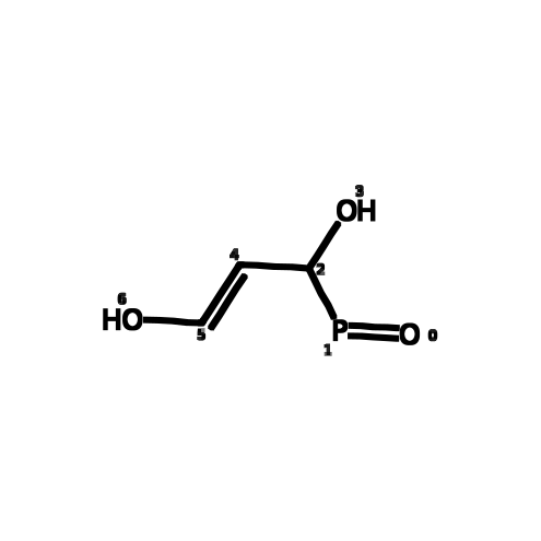 O=PC(O)C=CO